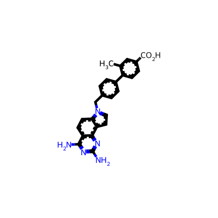 Cc1cc(C(=O)O)ccc1-c1ccc(Cn2ccc3c4nc(N)nc(N)c4ccc32)cc1